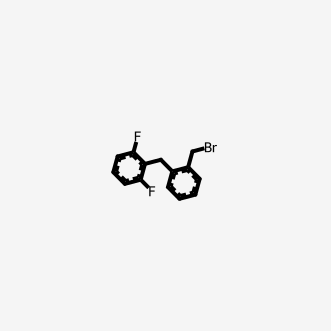 Fc1cccc(F)c1Cc1ccccc1CBr